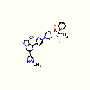 Cn1cc(-c2cn3ncc(C#N)c3c(-c3ccc(N4CCN(C(=O)C(C)(N)c5ccccc5)CC4)nc3)n2)cn1